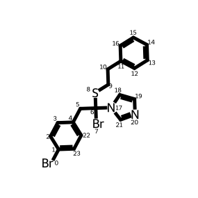 Brc1ccc(CC(Br)(SCCc2ccccc2)n2ccnc2)cc1